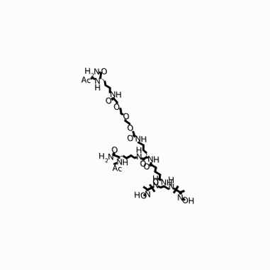 CC(=O)CN[C@@H](CCCCNC(=O)COCCOCCOCC(=O)NCCCC[C@H](NC(=O)CCCC(=O)NC(CNC(C)(C)/C(C)=N/O)CNC(C)(C)/C(C)=N/O)C(=O)NCCCC[C@H](NCC(C)=O)C(N)=O)C(N)=O